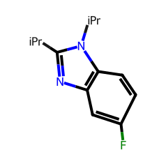 CC(C)c1nc2cc(F)ccc2n1C(C)C